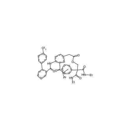 CCNC(=O)C(COC(=O)Cc1ccc(NC(=O)c2ccccc2-c2ccc(C(F)(F)F)cc2)c(C(=O)N(C)C(C)C)c1)(C(=O)NCC)c1ccccc1